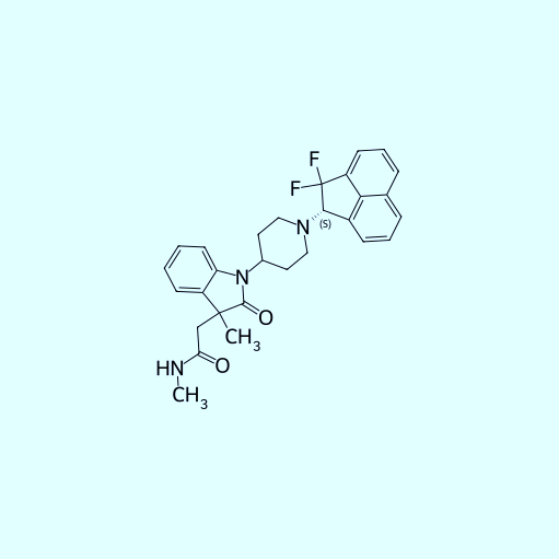 CNC(=O)CC1(C)C(=O)N(C2CCN([C@H]3c4cccc5cccc(c45)C3(F)F)CC2)c2ccccc21